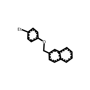 CCc1ccc(OCc2ccc3ccccc3c2)cc1